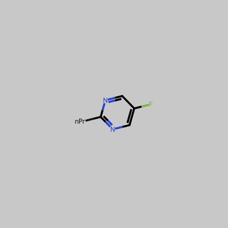 CCCc1ncc(F)cn1